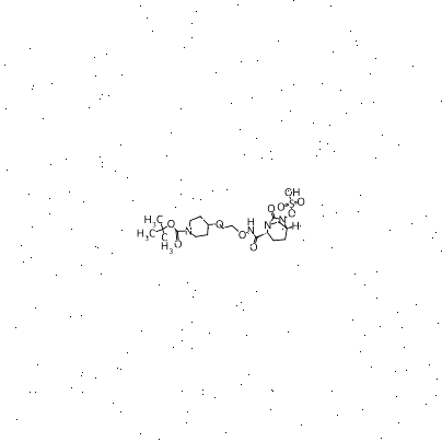 CC(C)(C)OC(=O)N1CCC(OCCONC(=O)[C@@H]2CC[C@@H]3CN2C(=O)N3OS(=O)(=O)O)CC1